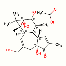 CC(=O)O.CC1=C[C@H]2[C@]3(O)[C@H](C)[C@@H](O)[C@@]4(O)[C@H]([C@@H]3C=C(CO)C[C@@]2(O)C1=O)C4(C)C